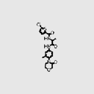 Cc1cc(NC(=O)C(C)NC(=O)c2ccc(Cl)s2)ccc1N1CCOCC1=O